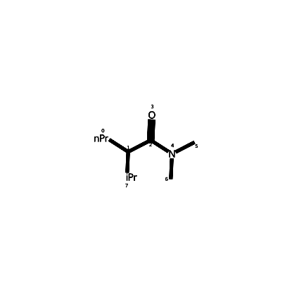 CCCC(C(=O)N(C)C)C(C)C